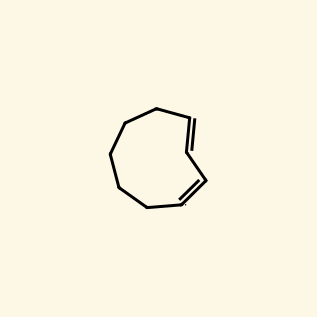 [C]1=C\C=C\CCCCC/1